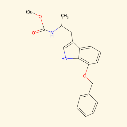 CC(Cc1c[nH]c2c(OCc3ccccc3)cccc12)NC(=O)OC(C)(C)C